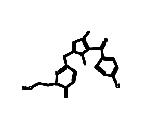 COCCn1nc(Cc2cc(C)c(C(=O)c3ccc(Cl)cc3)n2C)ccc1=O